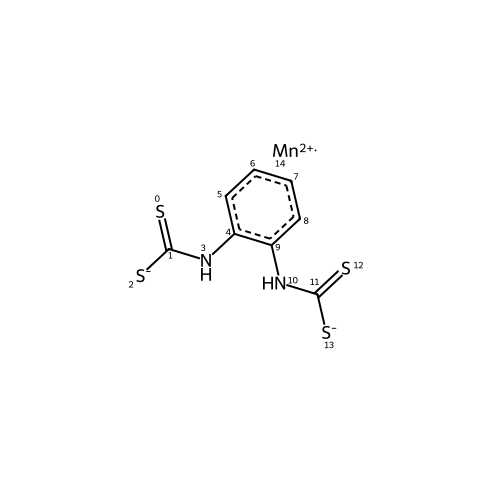 S=C([S-])Nc1ccccc1NC(=S)[S-].[Mn+2]